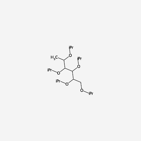 CC(C)OCC(OC(C)C)C(OC(C)C)C(OC(C)C)C(C)OC(C)C